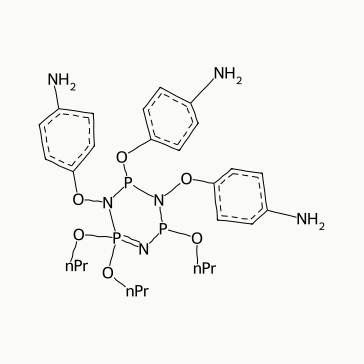 CCCOP1N=P(OCCC)(OCCC)N(Oc2ccc(N)cc2)P(Oc2ccc(N)cc2)N1Oc1ccc(N)cc1